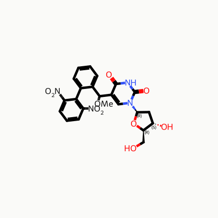 COC(c1ccccc1-c1c([N+](=O)[O-])cccc1[N+](=O)[O-])c1cn([C@H]2C[C@H](O)[C@@H](CO)O2)c(=O)[nH]c1=O